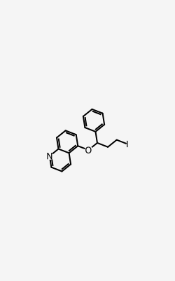 ICCC(Oc1cccc2ncccc12)c1ccccc1